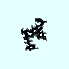 COc1cc(CN(CCC(C)O)S(=O)(=O)c2ccc(Cl)cc2)ccc1OCCc1scnc1C